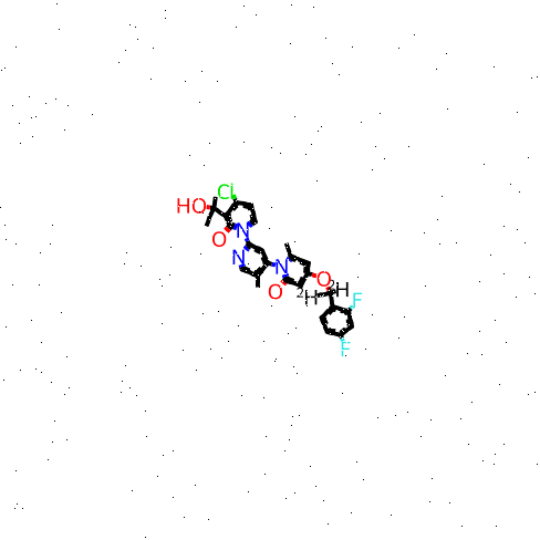 [2H]C([2H])(Oc1cc(C)n(-c2cc(-n3ccc(Cl)c(C(C)(C)O)c3=O)ncc2C)c(=O)c1)c1ccc(F)cc1F